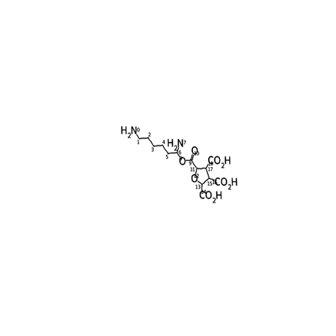 NCCCCCC(N)OC(=O)C1OC(C(=O)O)C(C(=O)O)C1C(=O)O